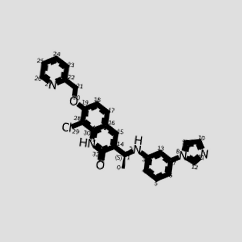 C[C@H](Nc1cccc(-n2ccnc2)c1)c1cc2ccc(OCc3ccccn3)c(Cl)c2[nH]c1=O